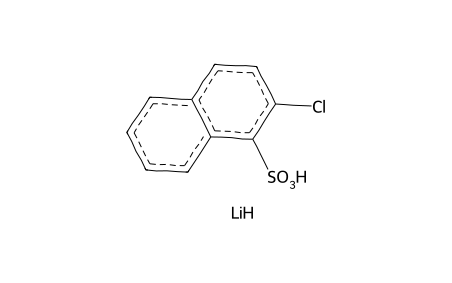 O=S(=O)(O)c1c(Cl)ccc2ccccc12.[LiH]